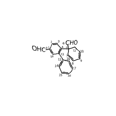 O=Cc1ccc(C2(C=O)C=CC=CC2)c(-c2ccccc2)c1